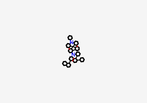 c1ccc(-c2ccccc2-c2ccccc2N(c2ccc(-c3cccc4ccccc34)cc2)c2cccc3c2-c2ccccc2C32c3ccccc3N(c3ccccc3)c3ccccc32)cc1